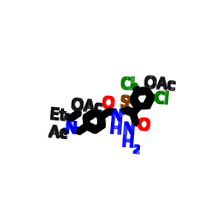 CCC(COC(C)=O)N(Cc1ccc(C(=O)Nc2sc3c(Cl)c(OC(C)=O)c(Cl)cc3c2C(N)=O)cc1)C(C)=O